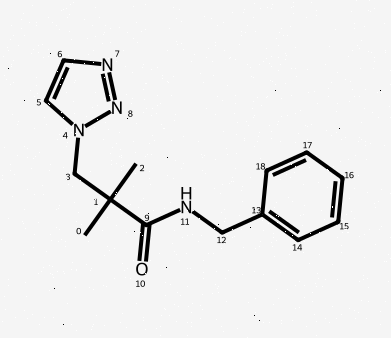 CC(C)(Cn1ccnn1)C(=O)NCc1ccccc1